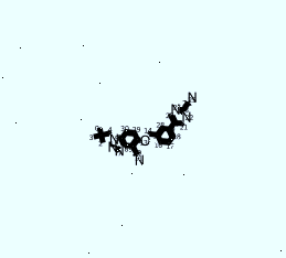 CC(C)(C)Cn1nnc2c(C#N)c(OCc3cccc(-c4cnc(C#N)nc4)c3)ccc21